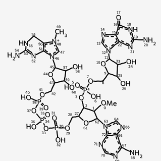 COC1C(OP(=O)(O)OCC2OC(n3cnc4c(=O)[nH]c(N)nc43)C(O)C2O)C(COP(=O)(O)OP(=O)(O)OP(=O)(O)OCC2OC(n3c[n+](C)c4c3N=C(N)NC4)C(O)C2O)OC1n1cnc2c(N)ncnc21